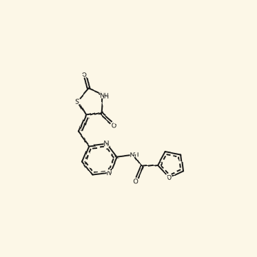 O=C1NC(=O)/C(=C\c2ccnc(NC(=O)c3ccco3)n2)S1